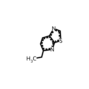 CCc1ccc2ncsc2n1